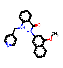 COc1cc(NC(=O)c2ccccc2NCc2ccncc2)cc2ccccc12